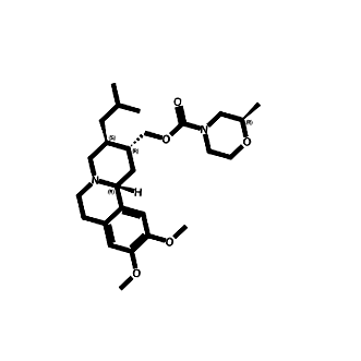 COc1cc2c(cc1OC)[C@H]1C[C@@H](COC(=O)N3CCO[C@H](C)C3)[C@H](CC(C)C)CN1CC2